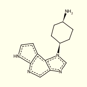 N[C@H]1CC[C@@H](n2cnc3cnc4[nH]ccc4c32)CC1